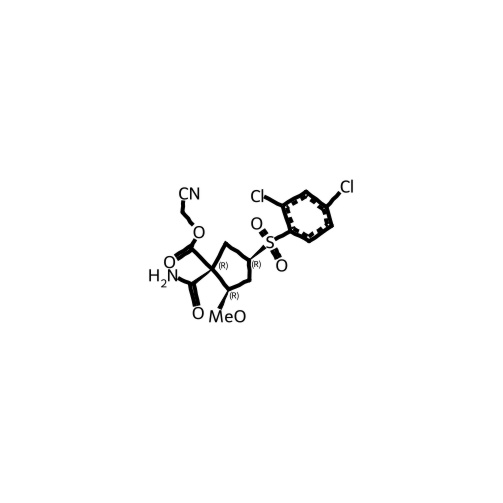 CO[C@@H]1C[C@H](S(=O)(=O)c2ccc(Cl)cc2Cl)C[C@@]1(C(N)=O)C(=O)OCC#N